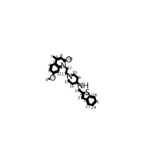 COc1ccc2c(C)cc(=O)n(CCN3CCC(NCc4cc5ccccc5s4)CC3)c2c1